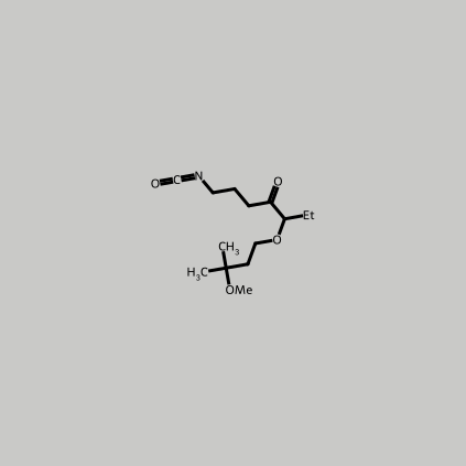 CCC(OCCC(C)(C)OC)C(=O)CCCN=C=O